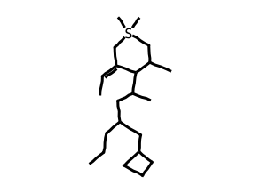 C/C=C1/CS(C)(C)CC(C)C1C(C)CC(CCC)CC1CCC1